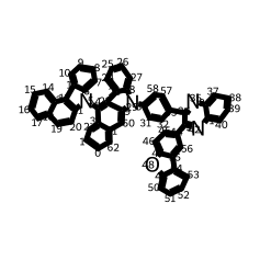 c1ccc2c(-n3c4ccccc4c4c5ccccc5ccc43)c3c4ccccc4n(-c4ccc(-c5nc6ccccc6nc5-c5ccc6oc7ccccc7c6c5)cc4)c3cc2c1